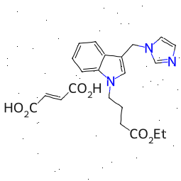 CCOC(=O)CCCn1cc(Cn2ccnc2)c2ccccc21.O=C(O)/C=C/C(=O)O